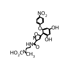 CN(CCNC(=O)c1cc(-c2c(O)cc(O)cc2Oc2ccc([N+](=O)[O-])cc2)on1)C(=O)O